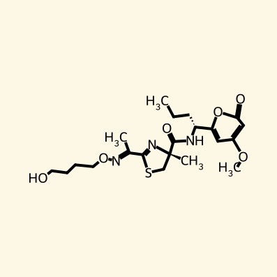 CCC[C@@H](NC(=O)[C@]1(C)CSC(/C(C)=N/OCCCCO)=N1)c1cc(OC)cc(=O)o1